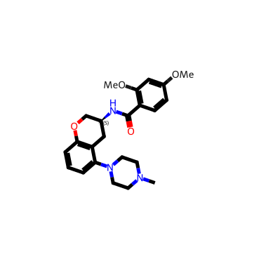 COc1ccc(C(=O)N[C@@H]2COc3cccc(N4CCN(C)CC4)c3C2)c(OC)c1